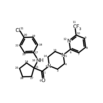 O=C(N1CCN(c2cccc(C(F)(F)F)n2)CC1)C1(Nc2ccc(Cl)cc2)CCCC1